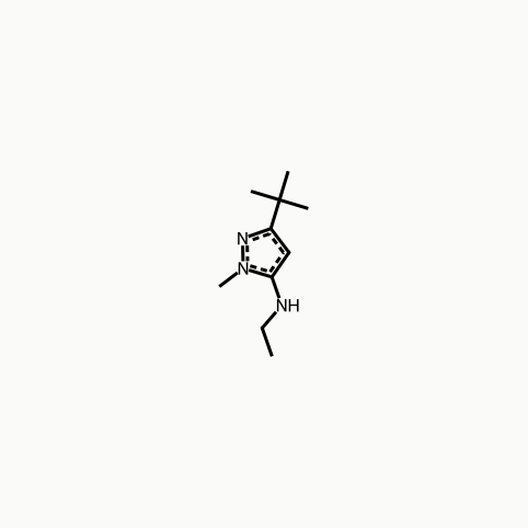 CCNc1cc(C(C)(C)C)nn1C